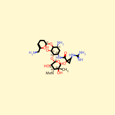 CN[C@@H]1[C@@H](O)[C@@H](O[C@H]2[C@H](NC(=O)C3(O)CC3NC(=N)N)C[C@H](N)C(O[C@@H]3CCC=C(CN)O3)[C@@H]2O)OC[C@]1(C)O